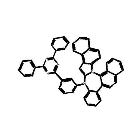 c1ccc(-c2nc(-c3ccccc3)nc(-c3cccc(N4c5ccccc5-c5ccc6ccccc6c5-n5c4cc4c6ccccc6ccc45)c3)n2)cc1